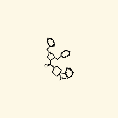 CN(C)C1(c2ccccc2)CCN(C(=O)C2CN(Cc3ccccc3)CC2Cc2ccccc2)CC1